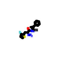 N#C[C@@]1(NC(=O)[C@@H](N)Cc2sccc2F)CC1c1ccccc1